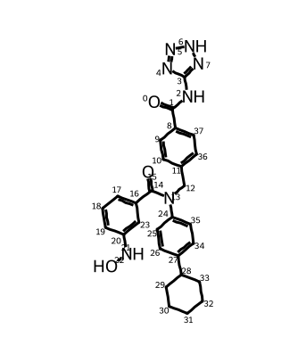 O=C(Nc1nn[nH]n1)c1ccc(CN(C(=O)c2cccc(NO)c2)c2ccc(C3CCCCC3)cc2)cc1